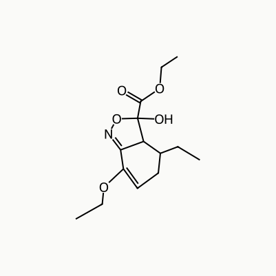 CCOC(=O)C1(O)ON=C2C(OCC)=CCC(CC)C21